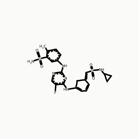 Cc1ccc(Nc2ncc(F)c(NC3=CC=C/C(=C\S(=O)(=O)NC4CC4)C3)n2)cc1S(N)(=O)=O